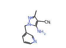 Cc1nn(Cc2cccnc2)c(N)c1C#N